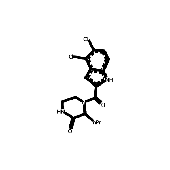 CCCC1C(=O)NCCN1C(=O)c1cc2c(Cl)c(Cl)ccc2[nH]1